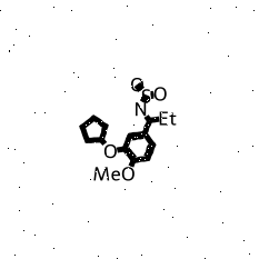 CCC(N=S(=O)=O)c1ccc(OC)c(OC2CCCC2)c1